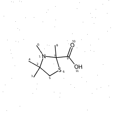 CN1C(C)(C)CSC1(C)C(=O)O